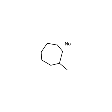 CC1CCCCCC1.[No]